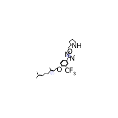 C=N/C(=N\OCC1CCCN1)c1ccc(OC/C=C(\C)CCC=C(C)C)c(C(F)(F)F)c1